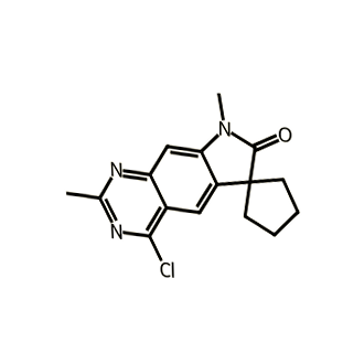 Cc1nc(Cl)c2cc3c(cc2n1)N(C)C(=O)C31CCCC1